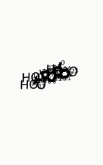 CC1C[C@@H]2C(=CC[C@]3(C)[C@@H](C(=O)C(O)O)CC[C@@H]23)[C@@]2(C)CCC(=O)C=C12